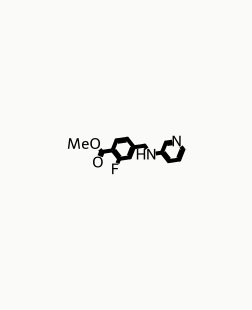 COC(=O)c1ccc(CNc2cccnc2)cc1F